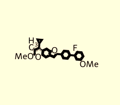 COC(=O)[C@H](C)[C@H](c1ccc2cc(-c3ccc(-c4cc(OC)ccc4F)cc3)oc2c1)C1CC1